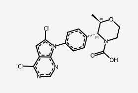 C[C@H]1OCCN(C(=O)O)[C@@H]1c1ccc(-n2c(Cl)cc3c(Cl)ncnc32)cc1